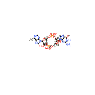 CC(=O)c1ncnc2c1ncn2[C@@H]1O[C@@H]2COP(=O)(O)O[C@@H]3[C@H](O)[C@@H](COP(=O)(O)O[C@H]2[C@H]1O)O[C@H]3n1cnc2c(=O)[nH]c(N)nc21